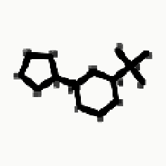 CC(C)(C)C1CCCN(C2CCCC2)C1